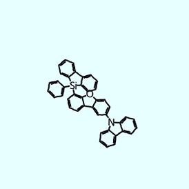 c1ccc([Si]2(c3cccc4c3oc3ccc(-n5c6ccccc6c6ccccc65)cc34)c3ccccc3-c3ccccc32)cc1